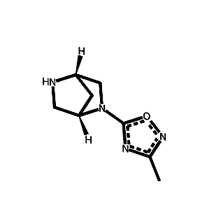 Cc1noc(N2C[C@@H]3C[C@H]2CN3)n1